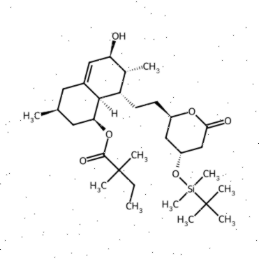 CCC(C)(C)C(=O)O[C@H]1C[C@@H](C)CC2=C[C@@H](O)[C@H](C)[C@H](CC[C@@H]3C[C@@H](O[Si](C)(C)C(C)(C)C)CC(=O)O3)[C@H]21